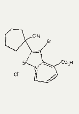 O=C(O)c1ccc[n+]2[se]c(C3(O)CCCCC3)c(Br)c12.[Cl-]